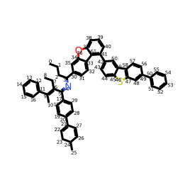 CCCC(/N=C(\C(CC)=C(/C)c1ccccc1)c1ccc(C2=CCC(C)C=C2)cc1)c1ccc2c(c1)oc1cccc(-c3ccc4sc5cc(-c6ccccc6)ccc5c4c3)c12